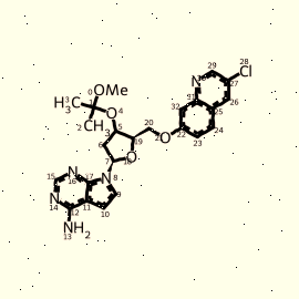 COC(C)(C)OC1C[C@H](n2ccc3c(N)ncnc32)O[C@@H]1COc1ccc2cc(Cl)cnc2c1